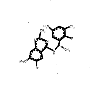 COc1cc2nc(C)nc(N[C@H](C)c3cc(N)cc(C(F)(F)F)c3F)c2cc1Br